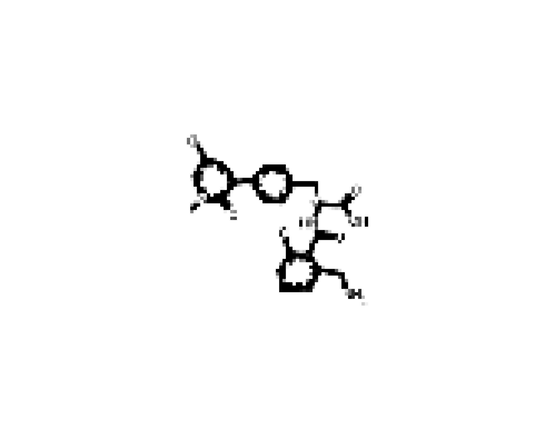 Cn1cc(Cl)cc(-c2ccc(C[C@H](NC(=O)c3c(Cl)cccc3CN)C(=O)O)cc2)c1=O